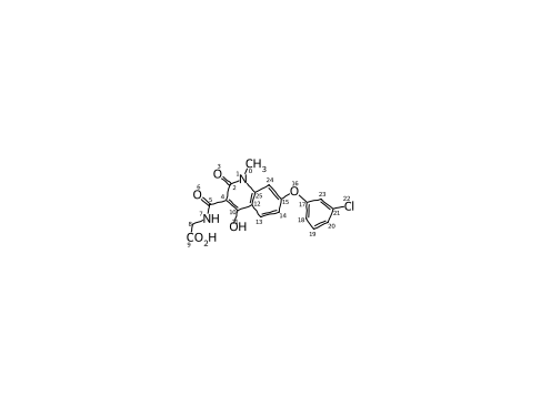 Cn1c(=O)c(C(=O)NCC(=O)O)c(O)c2ccc(Oc3cccc(Cl)c3)cc21